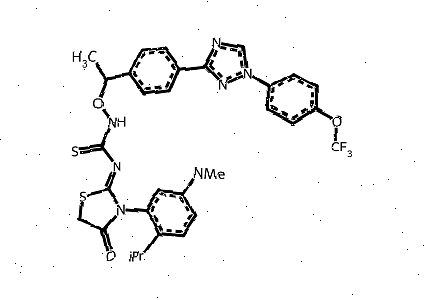 CNc1ccc(C(C)C)c(N2C(=O)CS/C2=N\C(=S)NOC(C)c2ccc(-c3ncn(-c4ccc(OC(F)(F)F)cc4)n3)cc2)c1